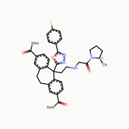 CNC(=O)c1ccc2c(c1)CCc1cc(C(=O)NC)ccc1C2(CCNCC(=O)N1CCC[C@H]1C#N)c1nnc(-c2ccc(F)cc2)o1